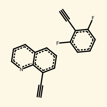 C#Cc1c(F)cccc1F.C#Cc1cccc2cccnc12